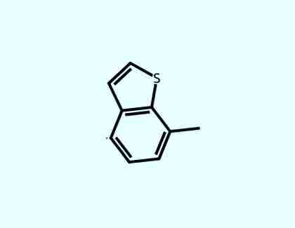 Cc1cc[c]c2ccsc12